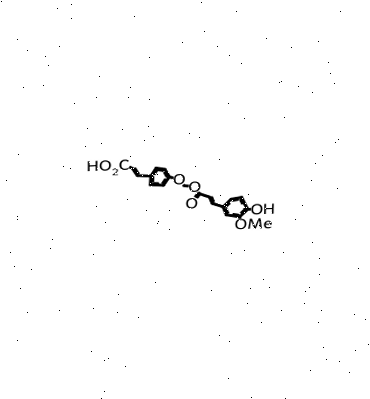 COc1cc(C=CC(=O)OCOc2ccc(/C=C/C(=O)O)cc2)ccc1O